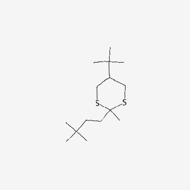 CC(C)(C)CCC1(C)SCC(C(C)(C)C)CS1